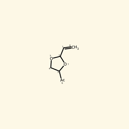 C=CC1OCC(C(C)=O)O1